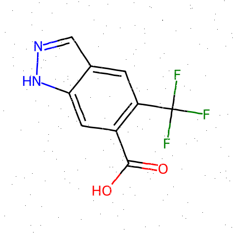 O=C(O)c1cc2[nH]ncc2cc1C(F)(F)F